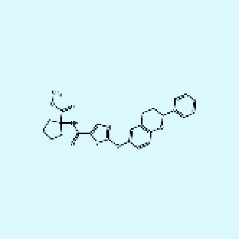 COC(=O)C1(NC(=O)c2cnc(Oc3ccc4c(c3)CCC(c3ccccc3)O4)s2)CCCC1